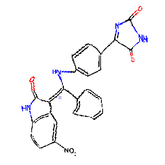 O=C1N=C(c2ccc(N/C(=C3\C(=O)Nc4ccc([N+](=O)[O-])cc43)c3ccccc3)cc2)C(=O)N1